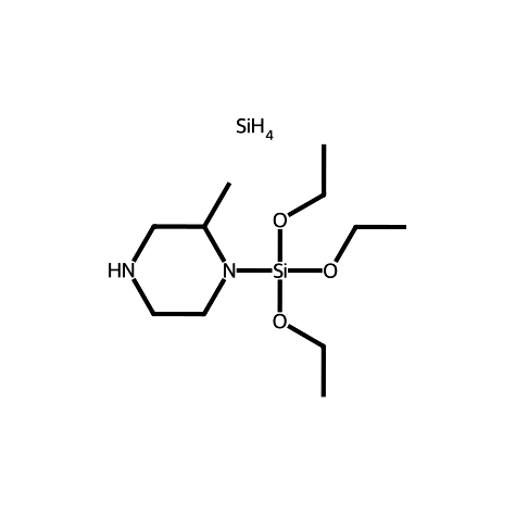 CCO[Si](OCC)(OCC)N1CCNCC1C.[SiH4]